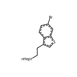 CCCCCCCCCc1csc2cc(Br)ccc12